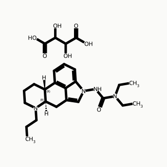 CCCN1CCC[C@@H]2c3cccc4c3c(cn4NC(=O)N(CC)CC)C[C@H]21.O=C(O)C(O)C(O)C(=O)O